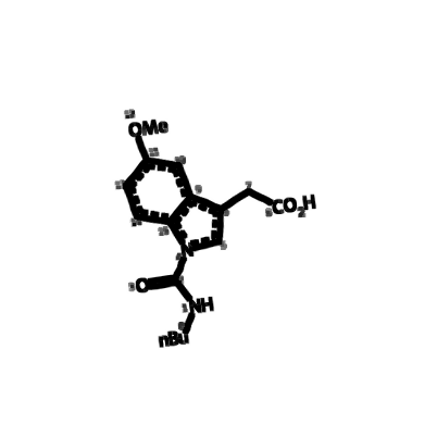 CCCCNC(=O)n1cc(CC(=O)O)c2cc(OC)ccc21